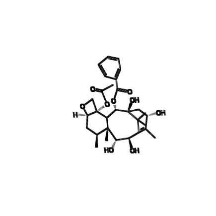 CC(=O)O[C@@]12CO[C@@H]1C[C@H](C)[C@]1(C)C2[C@H](OC(=O)c2ccccc2)[C@]2(O)C[C@H](O)C(C)=C([C@@H](O)[C@@H]1O)C2(C)C